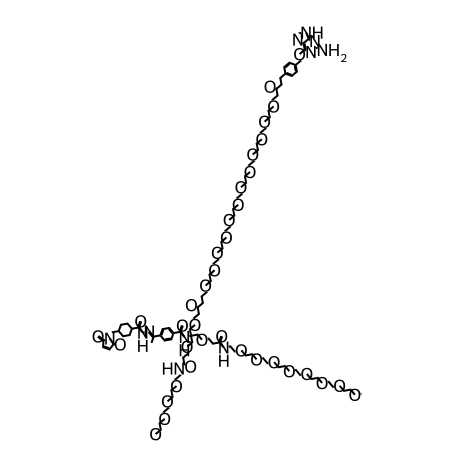 COCCOCCOCCOCCNC(=O)CCOCC(COCCC(=O)CCCOCCOCCOCCOCCOCCOCCOCCOCCOCCOCCOCCOCCC(=O)CCc1ccc(COc2nc(N)nc3[nH]cnc23)cc1)(COCCC(=O)NCCOCCOCCOCCOCCOCCOCCOCCOC)NC(=O)c1ccc(/C(C)=N/NC(=O)C2CCC(CN3C(=O)C=CC3=O)CC2)cc1